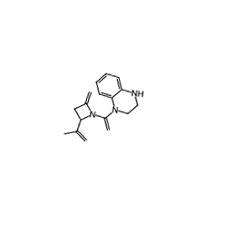 C=C(C)C1CC(=C)N1C(=C)N1CCNc2ccccc21